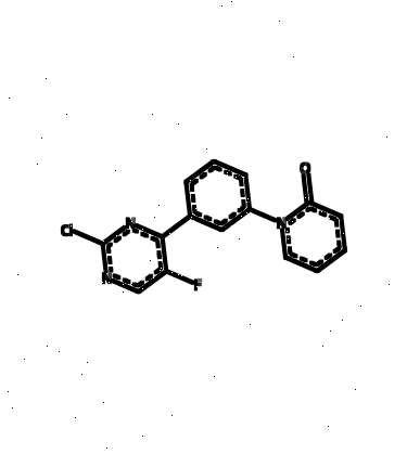 O=c1ccccn1-c1cccc(-c2nc(Cl)ncc2F)c1